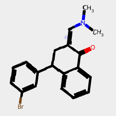 CN(C)/C=C1/CC(c2cccc(Br)c2)c2ccccc2C1=O